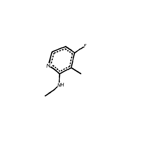 CNc1nccc(F)c1C